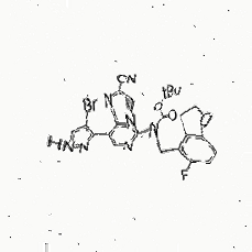 CC(C)(C)OC(=O)N(Cc1c(F)ccc2c1CCO2)c1ncc(-c2n[nH]cc2Br)c2nc(C#N)cn12